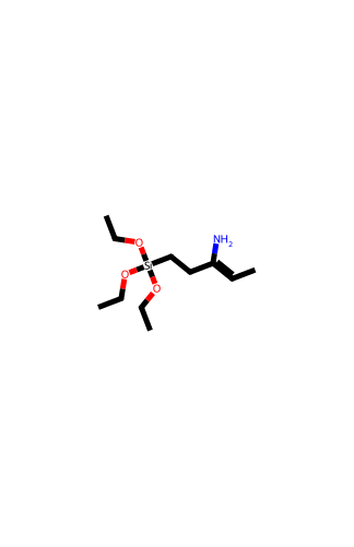 CC=C(N)CC[Si](OCC)(OCC)OCC